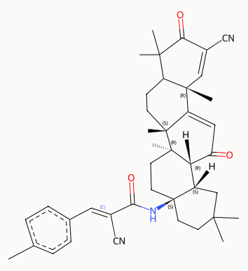 Cc1ccc(/C=C(\C#N)C(=O)N[C@]23CCC(C)(C)C[C@H]2[C@H]2C(=O)C=C4[C@@]5(C)C=C(C#N)C(=O)C(C)(C)C5CC[C@@]4(C)[C@]2(C)CC3)cc1